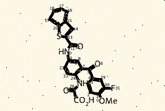 COc1ccc(C(=O)c2cc(NC(=O)c3cc4ccccc4s3)ccc2NC(=O)C(=O)O)cc1F